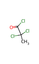 CC(Cl)(Cl)C(=O)Cl